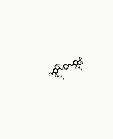 [C-]#[N+]c1cc2c(cc1OC)C(CN1CCN(CCc3ccc4c(c3C)COC4=O)CC1)OCC2